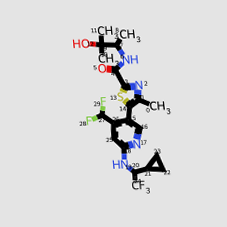 Cc1nc(C(=O)NC(C)C(C)(C)O)sc1-c1cnc(NC(C2CC2)C(F)(F)F)cc1C(F)F